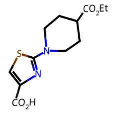 CCOC(=O)C1CCN(c2nc(C(=O)O)cs2)CC1